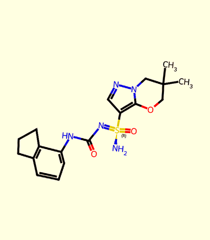 CC1(C)COc2c([S@](N)(=O)=NC(=O)Nc3cccc4c3CCC4)cnn2C1